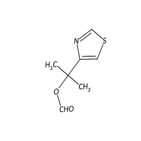 CC(C)(OC=O)c1cscn1